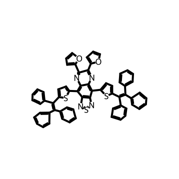 c1ccc(C(=C(c2ccccc2)c2ccc(-c3c4c(c(-c5ccc(C(=C(c6ccccc6)c6ccccc6)c6ccccc6)s5)c5nc(-c6ccco6)c(-c6ccco6)nc35)N=S=N4)s2)c2ccccc2)cc1